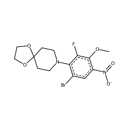 COc1c([N+](=O)[O-])cc(Br)c(N2CCC3(CC2)OCCO3)c1F